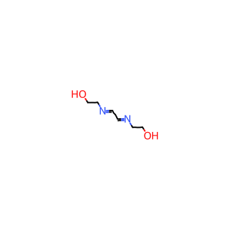 OCCN=CC=NCCO